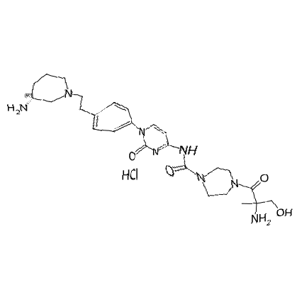 CC(N)(CO)C(=O)N1CCN(C(=O)Nc2ccn(-c3ccc(CCN4CCC[C@@H](N)C4)cc3)c(=O)n2)CC1.Cl